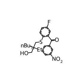 CCCC[C@@](CC)(CO)CSc1ccc(F)cc1C(=O)c1cccc([N+](=O)[O-])c1